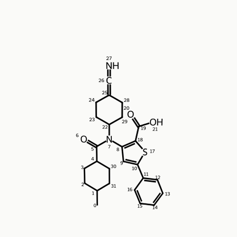 CC1CCC(C(=O)N(c2cc(-c3ccccc3)sc2C(=O)O)C2CCC(=C=N)CC2)CC1